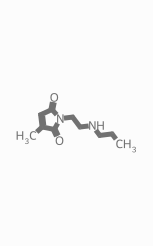 CCCNCCN1C(=O)C=C(C)C1=O